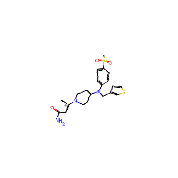 C[C@H](CC(N)=O)N1CCC(N(Cc2ccsc2)c2ccc(S(C)(=O)=O)cc2)CC1